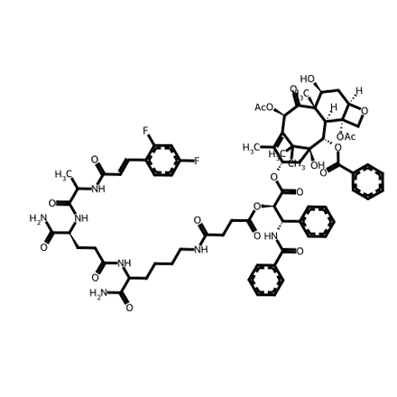 CC(=O)O[C@H]1C(=O)[C@@]2(C)[C@H]([C@H](OC(=O)c3ccccc3)[C@]3(O)C[C@H](OC(=O)[C@H](OC(=O)CCC(=O)NCCCCC(NC(=O)CC[C@H](NC(=O)C(C)NC(=O)/C=C/c4ccc(F)cc4F)C(N)=O)C(N)=O)[C@@H](NC(=O)c4ccccc4)c4ccccc4)C(C)=C1C3(C)C)[C@]1(OC(C)=O)CO[C@@H]1C[C@@H]2O